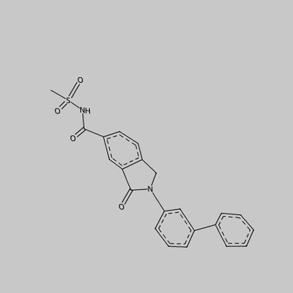 CS(=O)(=O)NC(=O)c1ccc2c(c1)C(=O)N(c1cccc(-c3ccccc3)c1)C2